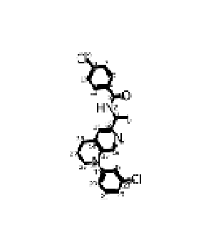 CC(NC(=O)c1ccc(Cl)cc1)c1cc2c(cn1)N(c1cccc(Cl)c1)CCC2